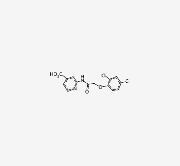 O=C(COc1ccc(Cl)cc1Cl)Nc1cc(C(=O)O)ccn1